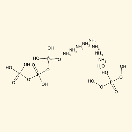 N.N.N.N.N.N.N.N.O.O=P(O)(O)OP(=O)(O)OP(=O)(O)O.O=P(O)(OO)OO